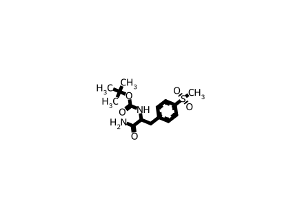 CC(C)(C)OC(=O)NC(Cc1ccc(S(C)(=O)=O)cc1)C(N)=O